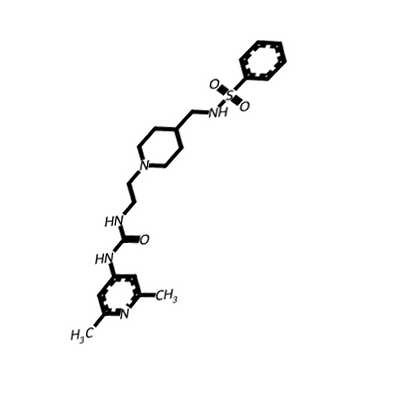 Cc1cc(NC(=O)NCCN2CCC(CNS(=O)(=O)c3ccccc3)CC2)cc(C)n1